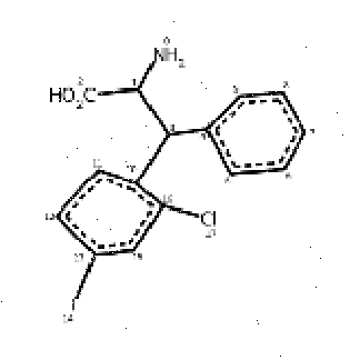 NC(C(=O)O)C(c1ccccc1)c1ccc(I)cc1Cl